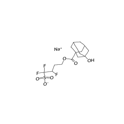 O=C(OCCC(F)C(F)(F)S(=O)(=O)[O-])C12CC3CC(CC(O)(C3)C1)C2.[Na+]